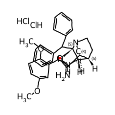 COc1ccc(OC)c(CN[C@H]2[C@H]3CCN(C[C@@H]3C(N)=O)[C@H]2C(c2ccccc2)c2ccccc2)c1.Cl.Cl